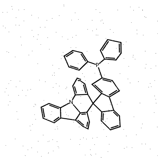 c1ccc(P(c2ccccc2)c2ccc3c(c2)C2(c4ccccc4-3)c3ccccc3-n3c4ccccc4c4cccc2c43)cc1